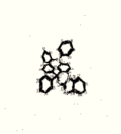 c1ccc(N(c2ccccc2)c2ccc3c(c2)C(c2ccccc2)(c2ccccc2)Sc2nc4ccccc4n2-3)cc1